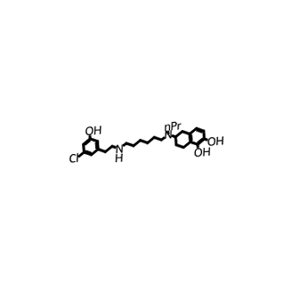 CCCN(CCCCCCNCCc1cc(O)cc(Cl)c1)C1CCc2c(ccc(O)c2O)C1